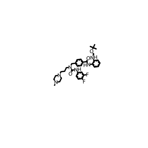 CN1CCN(CCCN(Cc2ccc(C(=O)Nc3ccccc3NCOC(C)(C)C)cc2)C(=O)Nc2ccc(F)c(F)c2)CC1